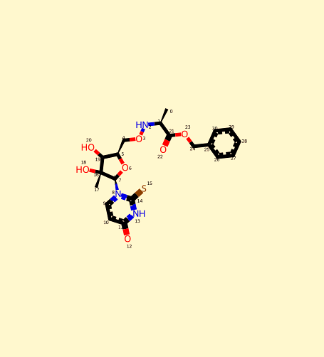 C[C@H](NOC[C@H]1O[C@@H](n2ccc(=O)[nH]c2=S)[C@](C)(O)C1O)C(=O)OCc1ccccc1